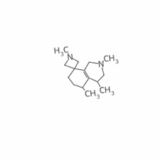 CC1CCC2(CN(C)C2)C2=C1C(C)CN(C)C2